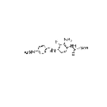 CCCCCCCCCC(=O)Nc1ccc(NCc2ccc(NC(C)=O)cc2)c(F)c1N